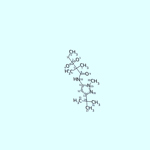 CCS(=O)(=O)C(C)(C)C(=O)Nc1cc(C(C)(C)C)nn1C